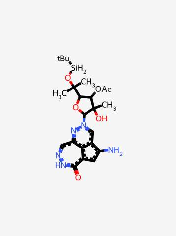 CC(=O)OC1C(C(C)(C)O[SiH2]C(C)(C)C)OC(n2cc3c(N)cc4c(=O)[nH]ncc(n2)c34)C1(C)O